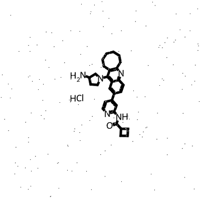 Cl.NC1CCN(c2c3c(nc4ccc(-c5ccnc(NC(=O)C6CCC6)c5)cc24)CCCCCC3)C1